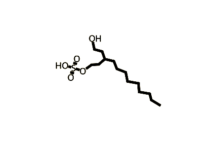 CCCCCCCCCC(CCO)CCOS(=O)(=O)O